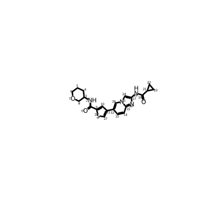 O=C(NC1CCCOC1)c1cc(-c2ccc3nc(NC(=O)C4CC4)cn3c2)cs1